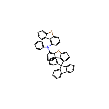 c1ccc(N(c2cccc3c2sc2cccc(C4(c5ccccc5)c5ccccc5-c5ccccc54)c23)c2cccc3sc4ccccc4c23)cc1